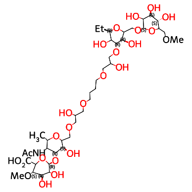 CC[C@H]1OC(CO[C@H]2OC(COC)[C@@H](O)[C@H](O)C2O)[C@@H](O)[C@H](OCC(O)COCCCCOCC(O)COCC2OC(C)C(NC(C)=O)[C@@H](O[C@@H]3OC(C(=O)O)[C@@H](OC)[C@H](O)C3O)[C@@H]2O)C1O